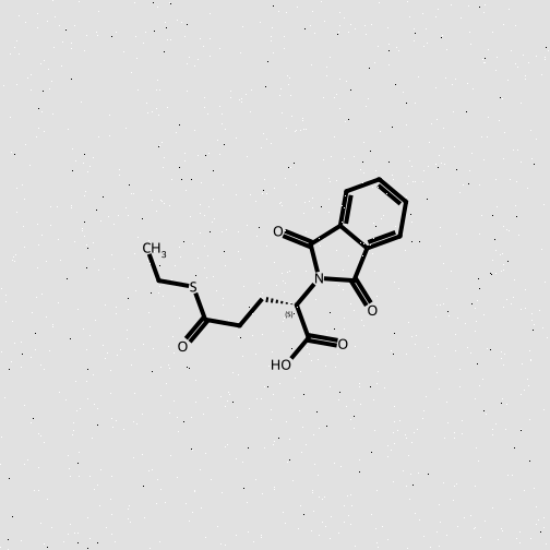 CCSC(=O)CC[C@@H](C(=O)O)N1C(=O)c2ccccc2C1=O